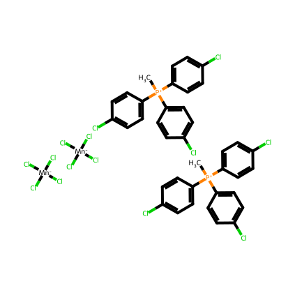 C[P+](c1ccc(Cl)cc1)(c1ccc(Cl)cc1)c1ccc(Cl)cc1.C[P+](c1ccc(Cl)cc1)(c1ccc(Cl)cc1)c1ccc(Cl)cc1.[Cl][Mn-]([Cl])([Cl])[Cl].[Cl][Mn-]([Cl])([Cl])[Cl]